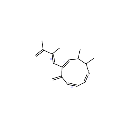 C=C1/C=C\C=N/C(C)C(C)/C=C1/C=C(\C)C(=C)C